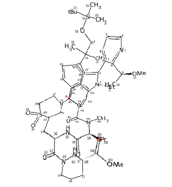 CCn1c(-c2cccnc2[C@H](C)OC)c(CC(C)(C)CO[Si](C)(C)C(C)(C)C)c2cc(N3CCS(=O)(=O)C(CC(NC(=O)[C@H](C(C)C)N(C)C(=O)OCc4ccccc4)C(=O)N4CCC[C@@H](C(=O)OC)N4)C3)ccc21